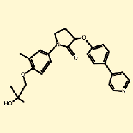 Cc1cc(N2CCC(Oc3ccc(-c4ccncc4)cc3)C2=O)ccc1OCC(C)(C)O